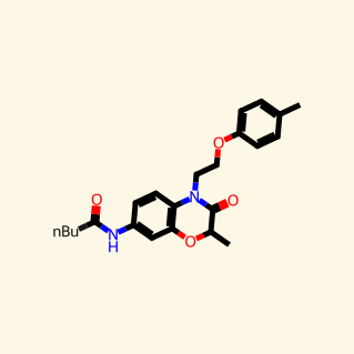 CCCCC(=O)Nc1ccc2c(c1)OC(C)C(=O)N2CCOc1ccc(C)cc1